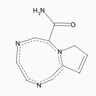 NC(=O)c1cnccncc2n1CC=C2